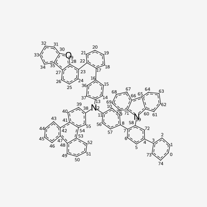 c1ccc(-c2ccc(-c3ccc(N(c4ccc(-c5ccccc5-c5cccc6c5oc5ccccc56)cc4)c4ccc5c6ccccc6c6ccccc6c5c4)cc3)c(-n3c4ccccc4c4ccccc43)c2)cc1